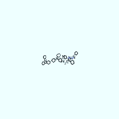 C=N/C(=N\C(=N/Cc1ccccc1)c1ccccc1)c1ccnc(-c2cccc3c2C2CC=CC=C2N3c2ccc(-c3ccc4c5ccccc5n(-c5ccccc5)c4c3)cc2)c1